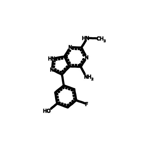 CNc1nc(N)c2c(-c3cc(O)cc(F)c3)n[nH]c2n1